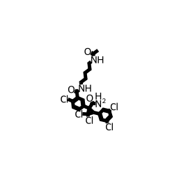 CC(=O)NCCCCCNC(=O)c1cc(C2(C(N)=O)C(c3cc(Cl)cc(Cl)c3)C2(Cl)Cl)ccc1Cl